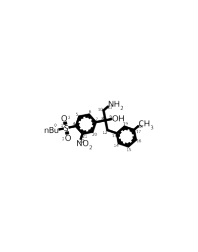 CCCCS(=O)(=O)c1ccc(C(O)(CN)Cc2cccc(C)c2)cc1[N+](=O)[O-]